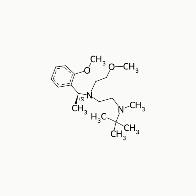 COCCN(CCN(C)C(C)(C)C)[C@@H](C)c1ccccc1OC